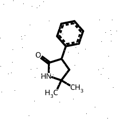 CC1(C)CC(c2ccccc2)C(=O)N1